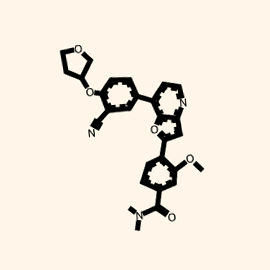 COc1cc(C(=O)N(C)C)ccc1-c1cc2nccc(-c3ccc(OC4CCOC4)c(C#N)c3)c2o1